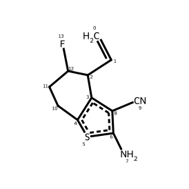 C=CC1c2c(sc(N)c2C#N)CCC1F